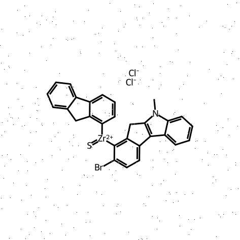 Cn1c2c(c3ccccc31)-c1ccc(Br)[c]([Zr+2](=[S])[c]3cccc4c3Cc3ccccc3-4)c1C2.[Cl-].[Cl-]